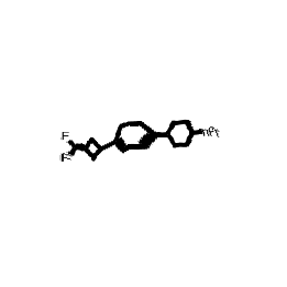 CCCC1CCC(c2ccc(C3CC(=C(F)F)C3)cc2)CC1